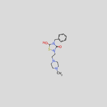 CN1CCN(CCN2SC(O)N(Cc3ccccc3)C2=O)CC1